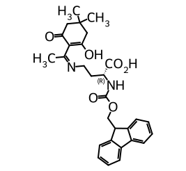 CC(=NCC[C@@H](NC(=O)OCC1c2ccccc2-c2ccccc21)C(=O)O)C1=C(O)CC(C)(C)CC1=O